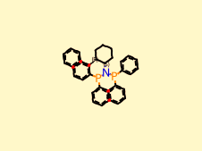 c1ccc(C[C@H]2CCCC[C@@H]2N(P(c2ccccc2)c2ccccc2)P(c2ccccc2)c2ccccc2)cc1